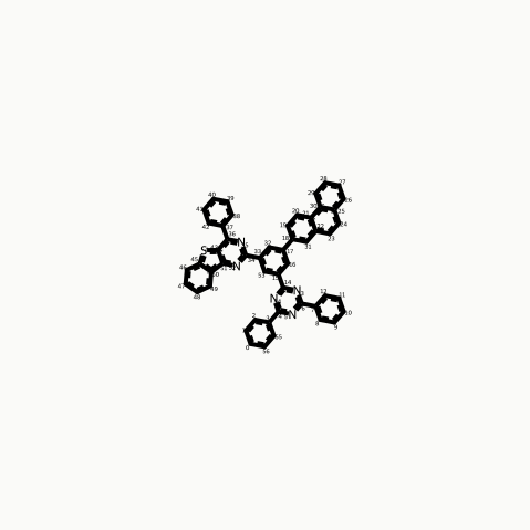 c1ccc(-c2nc(-c3ccccc3)nc(-c3cc(-c4ccc5c(ccc6ccccc65)c4)cc(-c4nc(-c5ccccc5)c5sc6ccccc6c5n4)c3)n2)cc1